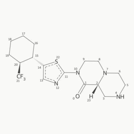 O=C1[C@H]2CNCCN2CCN1c1ncc([C@H]2CCCC[C@@H]2C(F)(F)F)s1